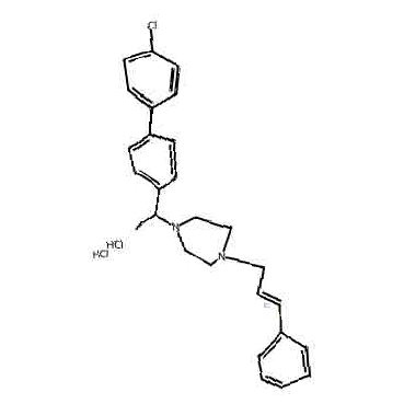 CC(c1ccc(-c2ccc(Cl)cc2)cc1)N1CCN(C/C=C/c2ccccc2)CC1.Cl.Cl